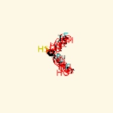 CC(C)(C)c1ccc(S)cc1.O=[Te](=O)(O)F.O=[Te](=O)(O)F.O=[Te](=O)(O)F.O=[Te](=O)(O)F.O=[Te](=O)(O)F.O=[Te](=O)(O)F